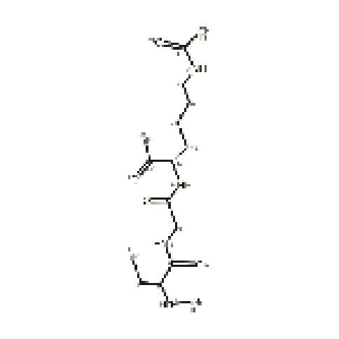 CCC(C)N[C@@H](CC(C)C)C(=O)NCC(=O)N[C@@H](CCCCNC(=O)C(F)(F)F)C(=O)C(C)C